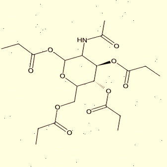 CCC(=O)OCC1OC(OC(=O)CC)C(NC(C)=O)[C@@H](OC(=O)CC)[C@@H]1OC(=O)CC